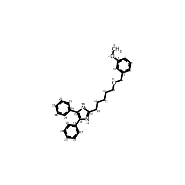 COc1cccc(COCCCCCC2=NC(c3ccccc3)=C(c3ccccc3)[N]2)c1